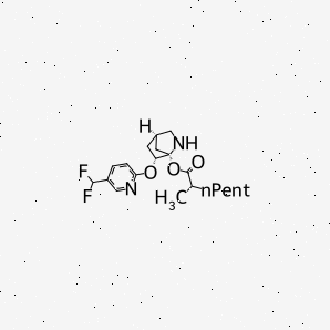 CCCCCC(C)C(=O)O[C@]12C[C@H](CN1)C[C@H]2Oc1ccc(C(F)F)cn1